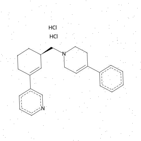 C1=C(c2cccnc2)CCC[C@H]1CN1CC=C(c2ccccc2)CC1.Cl.Cl